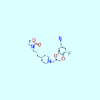 N#Cc1cc(F)c2c(c1)O[C@@H](CN1CCC(CCCN3CCOC3=O)CC1)CO2